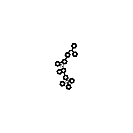 C(=C(c1ccccc1)c1ccccc1)c1ccc(-c2ccc3c(c2)c2ccccc2n3-c2ccc(-c3ccc([Si](c4ccccc4)(c4ccccc4)c4ccccc4)cc3)c3ccccc23)cc1